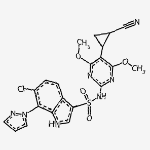 COc1nc(NS(=O)(=O)c2c[nH]c3c(-n4cccn4)c(Cl)ccc23)nc(OC)c1C1CC1C#N